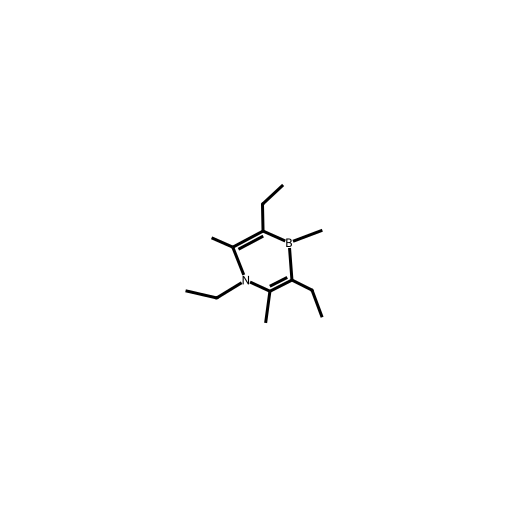 CCC1=C(C)N(CC)C(C)=C(CC)B1C